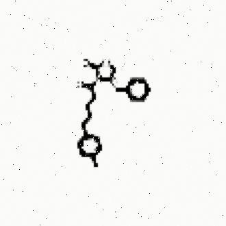 Cc1ccc(CCCCC(=O)N2C(=O)OC[C@@H]2Cc2ccccc2)cc1